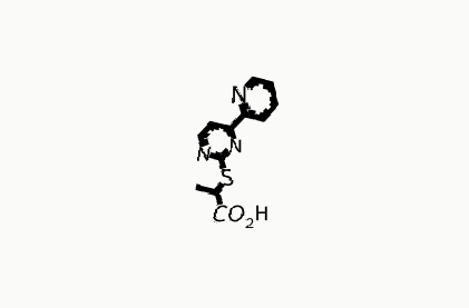 CC(Sc1nccc(-c2ccccn2)n1)C(=O)O